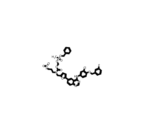 CP(=O)(OCOC(=O)N(CCC[SH](=O)=O)Cc1ccc(-c2ccc3ncnc(Nc4ccc(OCc5cccc(F)c5)c(Cl)c4)c3c2)o1)OCc1ccccc1